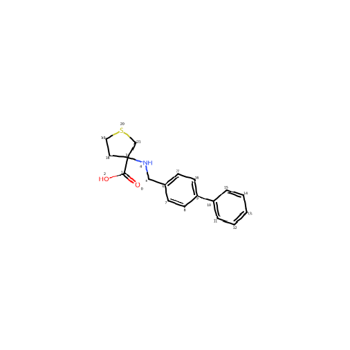 O=C(O)C1(NCc2ccc(-c3ccccc3)cc2)CCSC1